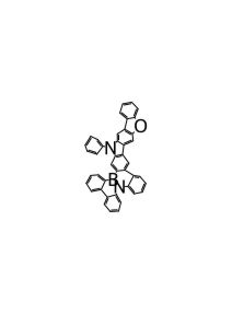 c1ccc(-n2c3cc4c(cc3c3cc5oc6ccccc6c5cc32)-c2ccccc2N2B4c3ccccc3-c3ccccc32)cc1